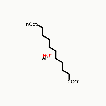 CCCCCCCCCCCCCCCCCC(=O)[O-].[Al+2].[OH-]